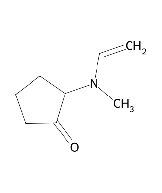 C=CN(C)C1CCCC1=O